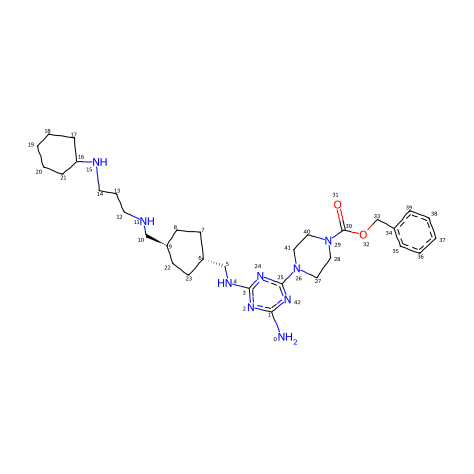 Nc1nc(NC[C@H]2CC[C@H](CNCCCNC3CCCCC3)CC2)nc(N2CCN(C(=O)OCc3ccccc3)CC2)n1